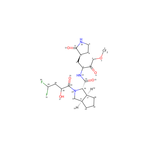 O=C(COC(F)(F)F)C(C[C@@H]1CCNC1=O)NC(=O)[C@@H]1[C@H]2CCC[C@H]2CN1C(=O)C(O)CC(F)F